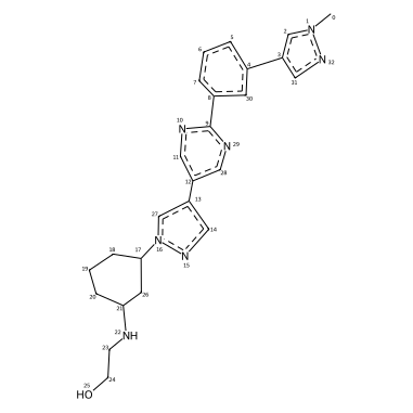 Cn1cc(-c2cccc(-c3ncc(-c4cnn(C5CCCC(NCCO)C5)c4)cn3)c2)cn1